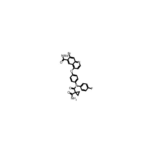 CNC(=O)c1cc2c(Oc3ccc(N(C(=O)C4(C(N)=O)CC4)c4ccc(F)cc4)cc3)ccnc2cc1Br